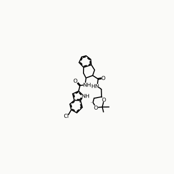 CC1(C)O[CH]CC(CNC(=O)C2Cc3ccccc3CC2NC(=O)c2cc3cc(Cl)ccc3[nH]2)O1